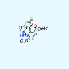 COC(=O)c1ccc([N+](=O)[O-])c(N[C@@H]2COC[C@@H]2COC(F)F)c1